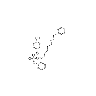 O=P(O)(OOc1ccc(O)cc1)Oc1ccccc1CCCCCCCCCc1ccccc1